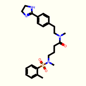 Cc1ccccc1S(=O)(=O)N(C)CCCC(=O)N(C)CCc1ccc(C2=NCCN2)cc1